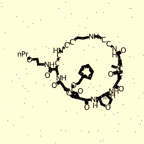 CCCOCCNC(=O)C1CCNCCCCNCCCNC(=O)c2ccc(c(=O)n2C)C(=O)N[C@@H]2COC[C@@H]2NC(=O)c2ccc(n(OCc3ccccc3)c2=O)C(=O)N1